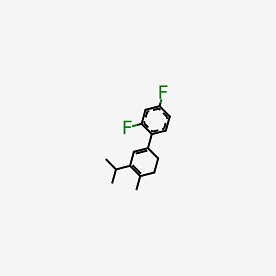 CC1=C(C(C)C)C=C(c2ccc(F)cc2F)CC1